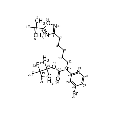 CC(C)(F)c1nc(CCCCCN(C(=O)OC(C)(C)C(F)(F)F)c2cc(Br)ccn2)no1